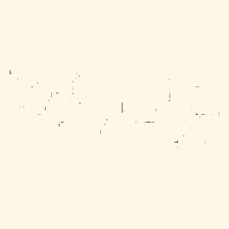 C[C@@H]1C(=O)OB(CNC(=O)CNC(=O)c2cc(Cl)ccc2Cl)OC(=O)[C@H](C)N1C